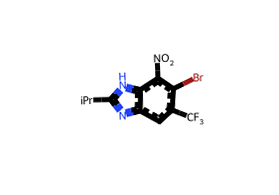 CC(C)c1nc2cc(C(F)(F)F)c(Br)c([N+](=O)[O-])c2[nH]1